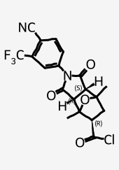 CC12C[C@@H](C(=O)Cl)C(C)(O1)[C@@H]1C(=O)N(c3ccc(C#N)c(C(F)(F)F)c3)C(=O)[C@@H]12